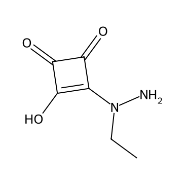 CCN(N)c1c(O)c(=O)c1=O